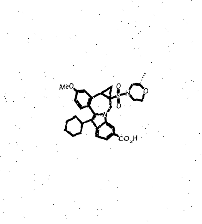 COc1ccc2c(c1)C1CC1(S(=O)(=O)N1CCO[C@@H](C)C1)Cn1c-2c(C2CCCCC2)c2ccc(C(=O)O)cc21